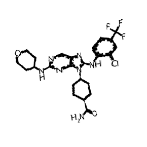 NC(=O)[C@H]1CC[C@@H](n2c(Nc3ccc(C(F)(F)F)cc3Cl)nc3cnc(NC4CCOCC4)nc32)CC1